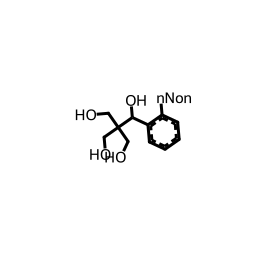 CCCCCCCCCc1ccccc1C(O)C(CO)(CO)CO